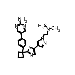 CN(C)CCn1cc(-c2cnc(C3(c4ccc(-c5cnc(N)nc5)cc4)CCC3)s2)cn1